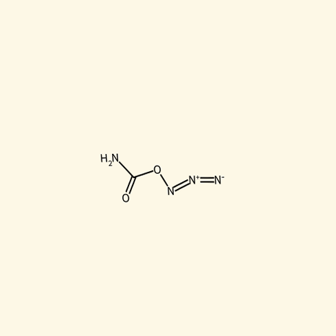 [N-]=[N+]=NOC(N)=O